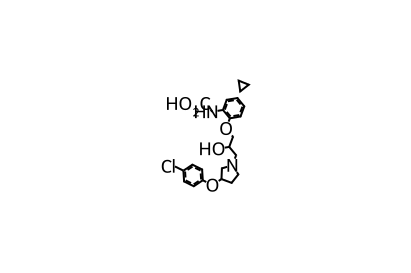 C1CC1.O=C(O)Nc1ccccc1OCC(O)CN1CCC(Oc2ccc(Cl)cc2)C1